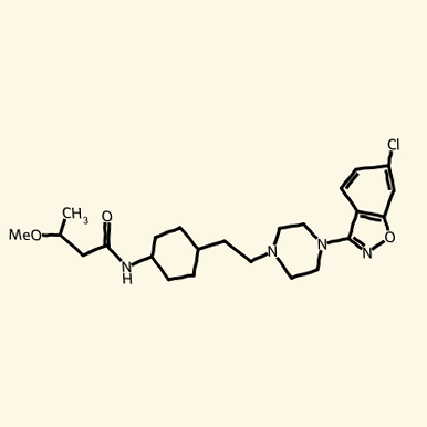 COC(C)CC(=O)NC1CCC(CCN2CCN(c3noc4cc(Cl)ccc34)CC2)CC1